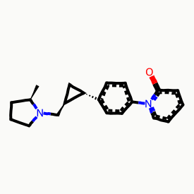 C[C@@H]1CCCN1C[C@H]1C[C@@H]1c1ccc(-n2ccccc2=O)cc1